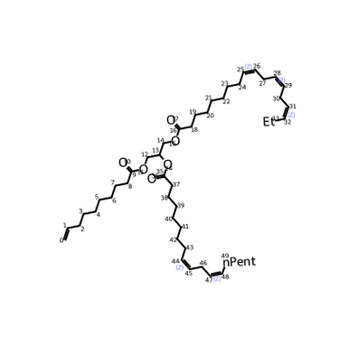 C=CCCCCCCCC(=O)OCC(COC(=O)CCCCCCC/C=C\C/C=C\C/C=C\CC)OC(=O)CCCCCCC/C=C\C/C=C\CCCCC